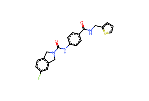 O=C(NCc1cccs1)c1ccc(NC(=O)N2Cc3ccc(F)cc3C2)cc1